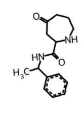 CC(NC(=O)C1CC(=O)CCCN1)c1ccccc1